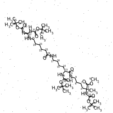 COC(=O)C(C)(CCCCNC(=O)[C@H](CCCCNC(=O)CCCCCN/C(=N/C(=O)OC(C)(C)C)NC(=O)OC(C)(C)C)NC(=O)OC(C)(C)C)NC(=O)OC(C)(C)C